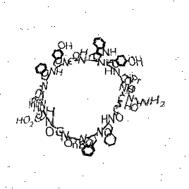 CCCC[C@H]1C(=O)N(C)CC(=O)N[C@@H](CC(=O)O)C(=O)N[C@@H](C(C)C)C(=O)N(C)[C@@H](Cc2ccccc2)C(=O)N[C@@H](Cc2ccc(O)cc2)C(=O)N(C)CC(=O)N[C@@H](Cc2c[nH]c3ccccc23)C(=O)N[C@@H](Cc2ccc(O)cc2)C(=O)N[C@@H](CC(C)C)C(=O)N[C@H](C(=O)NCC(N)=O)CSCC(=O)N[C@@H](CC2CCCCC2)C(=O)N(C)[C@@H](Cc2ccccc2)C(=O)N1C